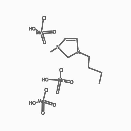 CCCCN1C=CN(C)C1.[O]=[Mn](=[O])([OH])[Cl].[O]=[Mn](=[O])([OH])[Cl].[O]=[Mn](=[O])([OH])[Cl]